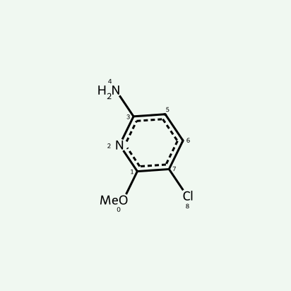 COc1nc(N)ccc1Cl